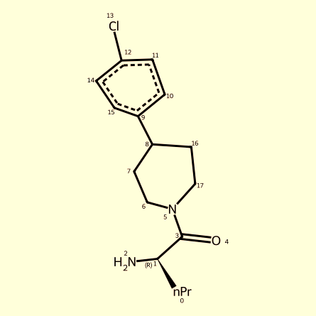 CCC[C@@H](N)C(=O)N1CCC(c2ccc(Cl)cc2)CC1